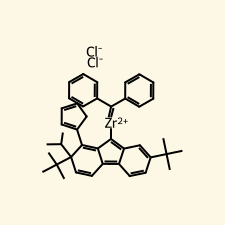 CC(C)C1(C(C)(C)C)C=CC2=c3ccc(C(C)(C)C)cc3=[C]([Zr+2]=[C](c3ccccc3)c3ccccc3)C2=C1C1=CC=CC1.[Cl-].[Cl-]